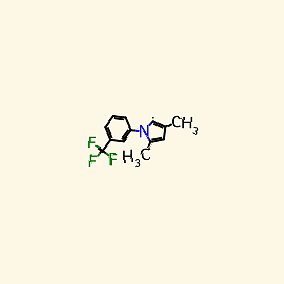 Cc1[c]n(-c2cccc(C(F)(F)F)c2)c(C)c1